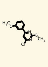 COc1cccc(-c2cc(Cl)nc(SC)n2)c1